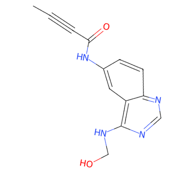 CC#CC(=O)Nc1ccc2ncnc(NCO)c2c1